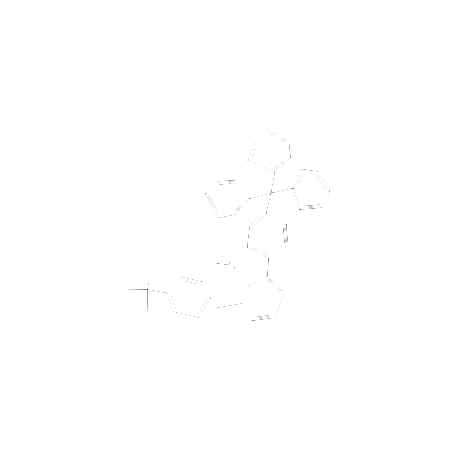 Cc1c(Cn2c3cc4c(cc3c3cccc(C)c32)-c2ccccc2C42c3ccccc3-c3ccccc32)cccc1C(F)(F)F